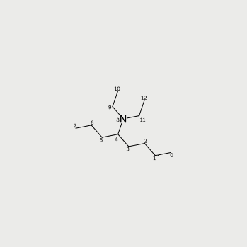 C[CH]CCC(CCC)N(CC)CC